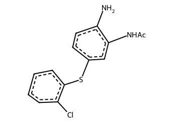 CC(=O)Nc1cc(Sc2ccccc2Cl)ccc1N